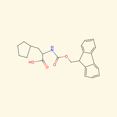 O=C(NC(CC1CCCC1)C(=O)O)OCC1c2ccccc2-c2ccccc21